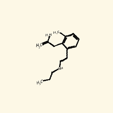 C=C(N)Cc1c(C)cccc1CCNCCC